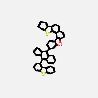 c1ccc2c(c1)sc1c2ccc2ccc3oc4cc(-c5c6ccccc6c(-c6cccc7sc8ccccc8c67)c6ccccc56)ccc4c3c21